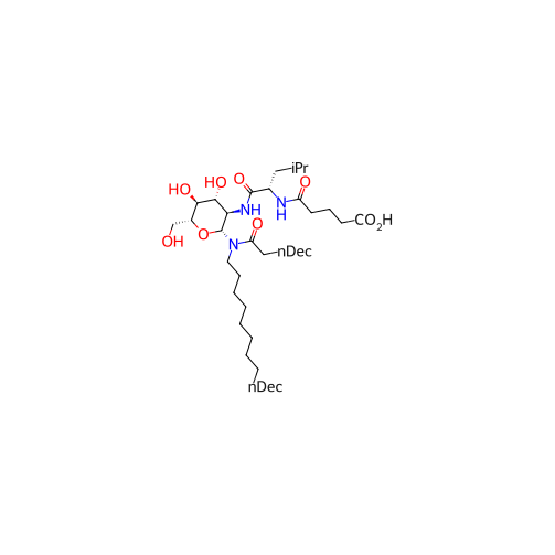 CCCCCCCCCCCCCCCCCCN(C(=O)CCCCCCCCCCC)[C@@H]1O[C@H](CO)[C@@H](O)[C@H](O)[C@H]1NC(=O)[C@H](CC(C)C)NC(=O)CCCC(=O)O